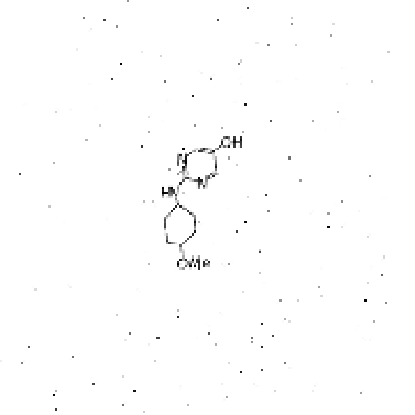 COC1CCC(Nc2ncc(O)cn2)CC1